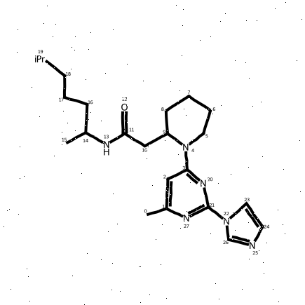 Cc1cc(N2CCCCC2CC(=O)NC(C)CCCC(C)C)nc(-n2ccnc2)n1